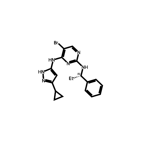 CC[C@H](Nc1ncc(Br)c(Nc2cc(C3CC3)n[nH]2)n1)c1ccccc1